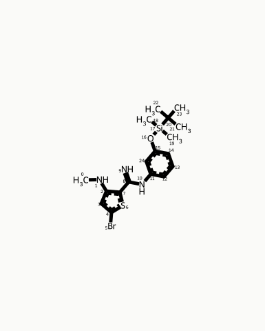 CNc1cc(Br)sc1C(=N)Nc1cccc(O[Si](C)(C)C(C)(C)C)c1